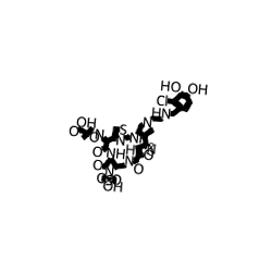 CC(C)(O/N=C(\C(=O)NC1C(=O)N(S(=O)(=O)O)C1CNC(=O)c1cc(C2CCN(CCNCc3ccc(O)c(O)c3Cl)C2)no1)c1csc(N)n1)C(=O)O